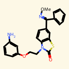 CON=C(c1ccccc1)c1ccc2c(c1)sc(=O)n2CCOc1[c]c(N)ccc1